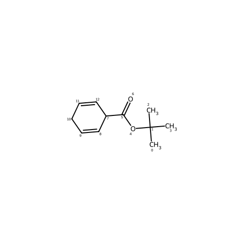 CC(C)(C)OC(=O)C1C=CCC=C1